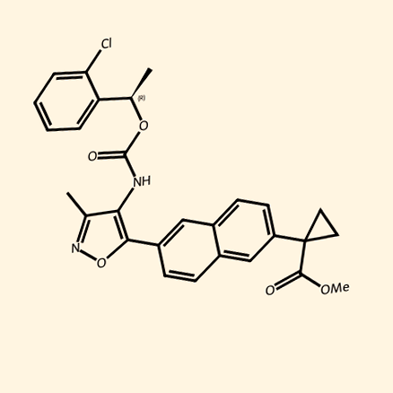 COC(=O)C1(c2ccc3cc(-c4onc(C)c4NC(=O)O[C@H](C)c4ccccc4Cl)ccc3c2)CC1